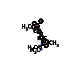 C=C/C=C(\C=C/C)C(=C/N(c1ccc(-c2ccc(N(C=C(c3ccccc3)c3ccccc3)c3ccc(C)cc3C)cc2)cc1)c1ccc(C)cc1C)/c1ccccc1